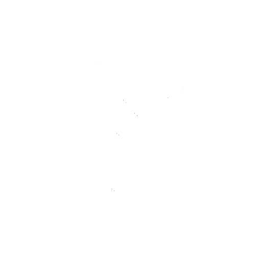 Cc1ccc2c(c1)N(c1ccc(N)cc1)C(=O)N(C1CC(C)(C)OC(C)(C)C1)N=C2C1CCOCC1